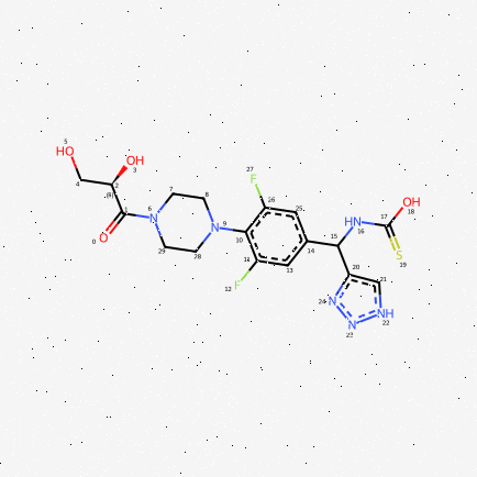 O=C([C@H](O)CO)N1CCN(c2c(F)cc(C(NC(O)=S)c3c[nH]nn3)cc2F)CC1